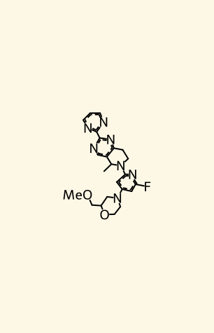 COCC1CN(c2cc(F)nc(N3CCc4nc(-c5ncccn5)ncc4C3C)c2)CCO1